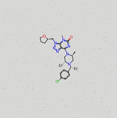 CC[C@@H]1CN(c2nc(=O)n(C)c3c2nnn3C[C@H]2CCCO2)[C@@H](C)CN1[C@H](CC)c1ccc(Cl)cc1